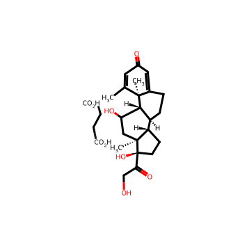 CC1=CC(=O)C=C2CC[C@@H]3[C@H](C(O)C[C@@]4(C)[C@H]3CC[C@]4(O)C(=O)CO)[C@@]12C.O=C(O)CCC(=O)O